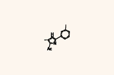 CC(=O)c1nc(-c2cccc(C)c2)[nH]c1C